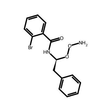 NOO[C@@H](Cc1ccccc1)NC(=O)c1ccccc1Br